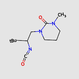 CN1CCCN(CC(N=C=O)C(C)(C)C)C1=O